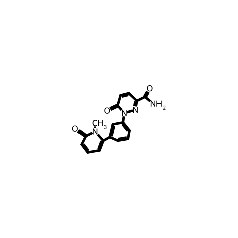 Cn1c(-c2cccc(-n3nc(C(N)=O)ccc3=O)c2)cccc1=O